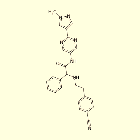 Cn1cc(-c2ncc(NC(=O)C(NCCc3ccc(C#N)cc3)c3ccccc3)cn2)cn1